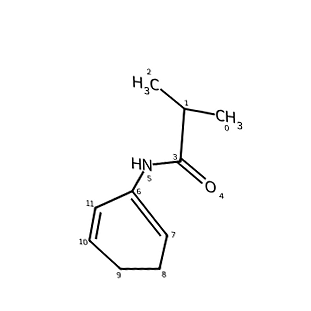 CC(C)C(=O)NC1=CCCC=C1